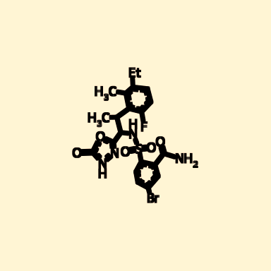 CCc1ccc(F)c(C(C)C(NS(=O)(=O)c2ccc(Br)cc2C(N)=O)c2n[nH]c(=O)o2)c1C